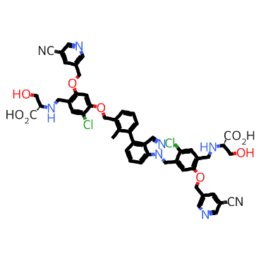 Cc1c(COc2cc(OCc3cncc(C#N)c3)c(CN[C@@H](CO)C(=O)O)cc2Cl)cccc1-c1cccc2c1cnn2Cc1cc(OCc2cncc(C#N)c2)c(CN[C@@H](CO)C(=O)O)cc1Cl